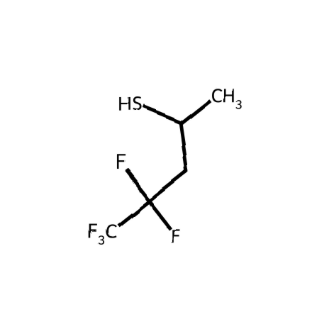 CC(S)CC(F)(F)C(F)(F)F